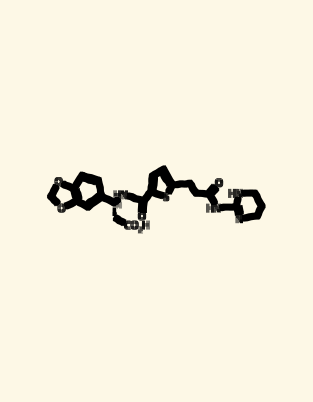 O=C(O)C[C@@H](NC(=O)c1ccc(CCC(=O)NC2=NCCCN2)s1)c1ccc2c(c1)OCO2